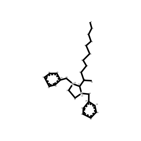 CCCCCCCCCC(C)C1N(Cc2ccccc2)CCN1Cc1ccccc1